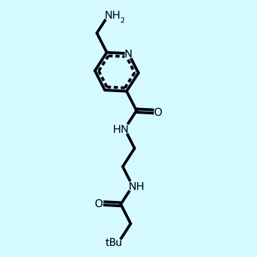 CC(C)(C)CC(=O)NCCNC(=O)c1ccc(CN)nc1